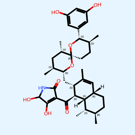 CC1=C[C@@H]2CC[C@@H](C)[C@H](C)[C@@H]2[C@@H](C(=O)C2=C(O)C(O)NC2=O)[C@@H]1C[C@H]1O[C@@]2(CC[C@H](C)[C@@H](c3cc(O)cc(O)c3)O2)[C@@H](C)C[C@@H]1C